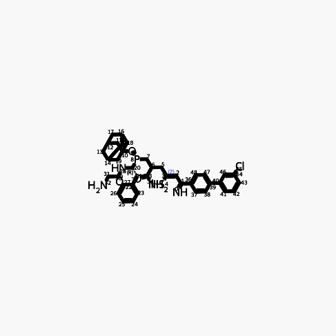 N=C(/C=C(\S)CC(CP(OC12CC3CC(CC(C3)C1)C2)[C@H](Cc1ccccc1)NC(=O)CN)C(N)=O)c1ccc(-c2cccc(Cl)c2)cc1